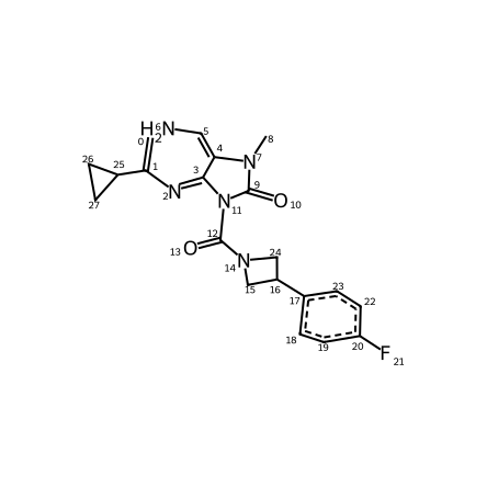 C=C(/N=C1\C(=C/N)N(C)C(=O)N1C(=O)N1CC(c2ccc(F)cc2)C1)C1CC1